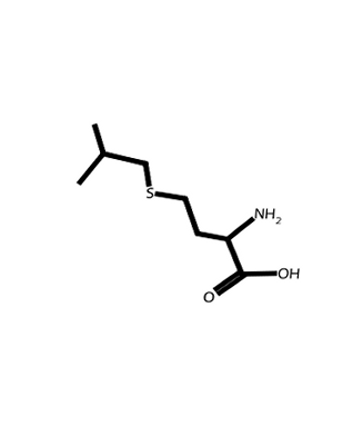 CC(C)CSCCC(N)C(=O)O